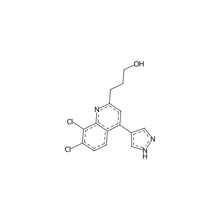 OCCCc1cc(-c2cn[nH]c2)c2ccc(Cl)c(Cl)c2n1